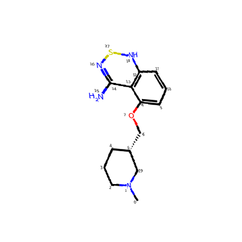 CN1CCC[C@H](COc2cccc3c2C(N)=NSN3)C1